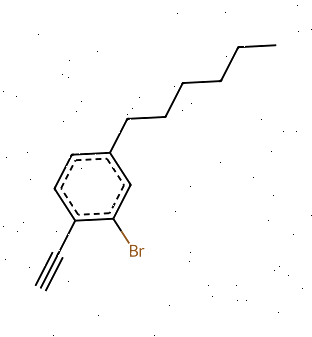 C#Cc1ccc(CCCCCC)cc1Br